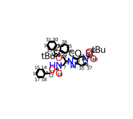 CCOC(=O)c1c2c(nn1C(CNC(=O)OCc1ccccc1)CO[Si](c1ccccc1)(c1ccccc1)C(C)(C)C)C[C@@H](C)N(C(=O)OC(C)(C)C)C2